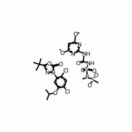 CC(C)Oc1cc(-n2nc(C(C)(C)C)oc2=O)c(Cl)cc1Cl.COc1cc(OC)nc(NC(=O)NS(=O)(=O)N(C)S(C)(=O)=O)n1